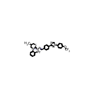 CC1CS/C(=N\N=C\c2ccc(-c3ncn(-c4ccc(OC(F)(F)F)cc4)n3)cc2)N(c2ccccc2C(C)C)C1